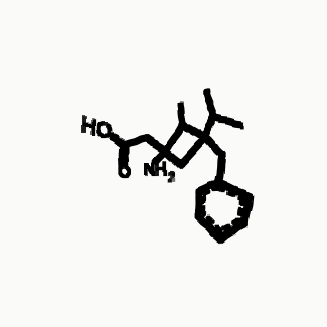 CC(C)C1(Cc2ccccc2)CC(N)(CC(=O)O)C1C